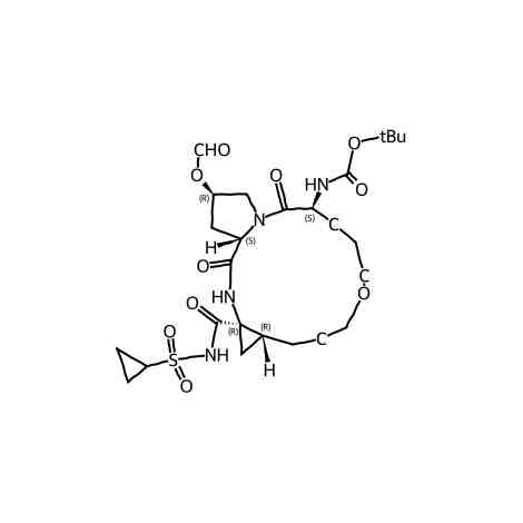 CC(C)(C)OC(=O)N[C@H]1CCCOCCC[C@@H]2C[C@@]2(C(=O)NS(=O)(=O)C2CC2)NC(=O)[C@@H]2C[C@@H](OC=O)CN2C1=O